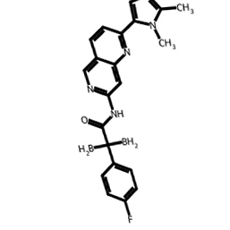 BC(B)(C(=O)Nc1cc2nc(-c3cnc(C)n3C)ccc2cn1)c1ccc(F)cc1